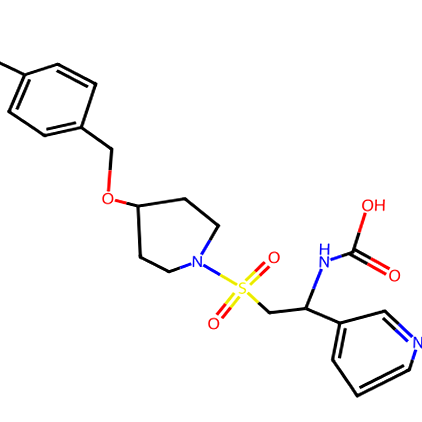 Cc1ccc(COC2CCN(S(=O)(=O)CC(NC(=O)O)c3cccnc3)CC2)cc1